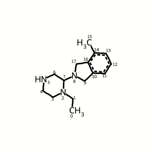 CCN1CCNCC1N1Cc2cccc(C)c2C1